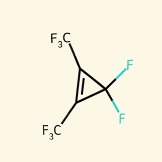 FC(F)(F)C1=C(C(F)(F)F)C1(F)F